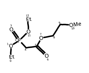 CCOP(=O)(CC(=O)OCCOC)OCC